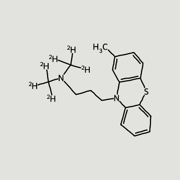 [2H]C([2H])([2H])N(CCCN1c2ccccc2Sc2ccc(C)cc21)C([2H])([2H])[2H]